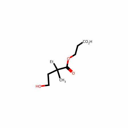 CCC(C)(CCO)C(=O)OCCC(=O)O